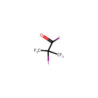 O=C(I)C(I)(C(F)(F)F)C(F)(F)F